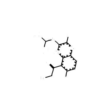 Cc1nc2ccc(F)c(C(=O)CBr)c2nc1NC(C)C